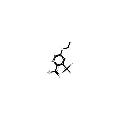 CCOc1cc(C(F)(F)F)c(C(=O)O)nn1